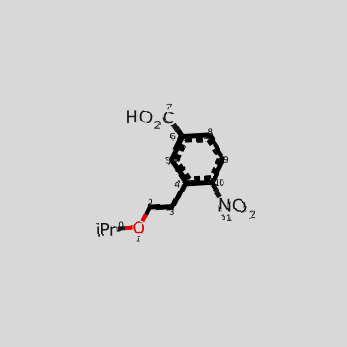 CC(C)OCCc1cc(C(=O)O)ccc1[N+](=O)[O-]